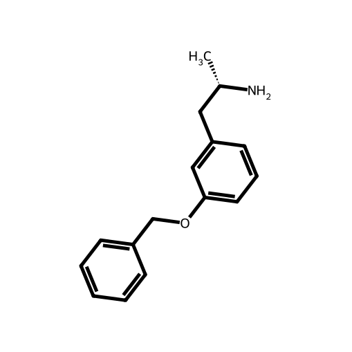 C[C@H](N)Cc1cccc(OCc2ccccc2)c1